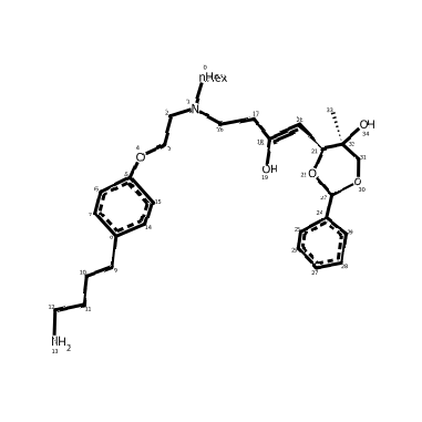 CCCCCCN(CCOc1ccc(CCCCN)cc1)CCC(O)=C[C@@H]1OC(c2ccccc2)OC[C@]1(C)O